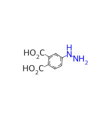 NNc1ccc(C(=O)O)c(C(=O)O)c1